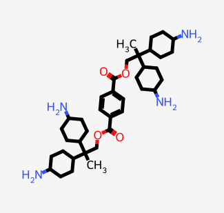 CC(COC(=O)c1ccc(C(=O)OCC(C)(C2CCC(N)CC2)C2CCC(N)CC2)cc1)(C1CCC(N)CC1)C1CCC(N)CC1